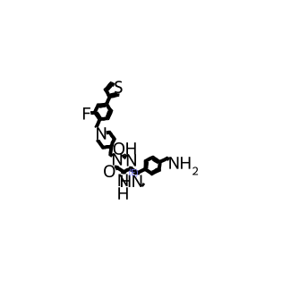 CN/C(=C1/N=CN(CC2(O)CCN(Cc3ccc(-c4ccsc4)cc3F)CC2)C(=O)C1=N)c1ccc(CN)cc1